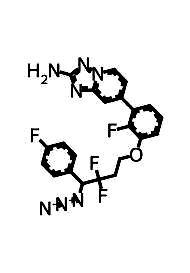 [N-]=[N+]=NC(c1ccc(F)cc1)C(F)(F)CCOc1cccc(-c2ccn3nc(N)nc3c2)c1F